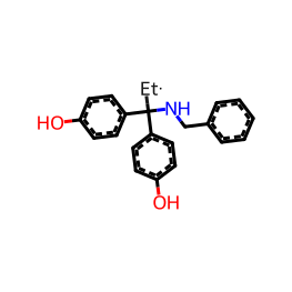 C[CH]C(NCc1ccccc1)(c1ccc(O)cc1)c1ccc(O)cc1